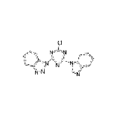 Clc1nc(-n2cnc3ccccc32)nc(-n2nnc3ccccc32)n1